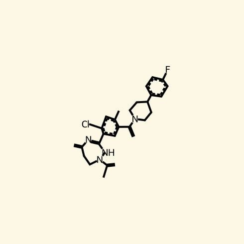 C=C1CCN(C(=C)C)NC(c2cc(C(=C)N3CCC(c4ccc(F)cc4)CC3)c(C)cc2Cl)=N1